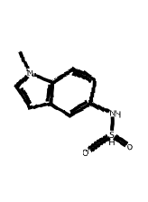 Cn1ccc2cc(N[SH](=O)=O)ccc21